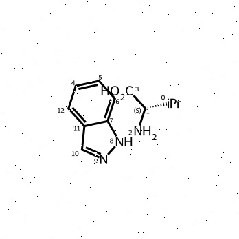 CC(C)[C@H](N)C(=O)O.c1ccc2[nH]ncc2c1